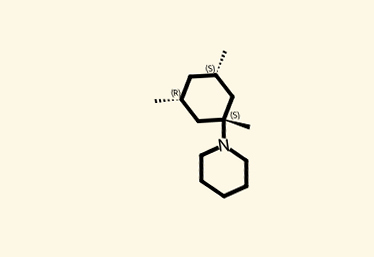 C[C@@H]1C[C@H](C)C[C@](C)(N2CCCCC2)C1